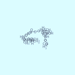 Cc1cnc(Nc2ccc(N3CCN(C(=O)CCOCCOCCC(=O)NC(C(=O)N4C[C@H](O)C[C@H]4C(=O)NCc4ccc(-c5scnc5C)cc4)C(C)(C)C)CC3)cc2)nc1Nc1cccc(S(=O)(=O)NC(C)(C)C)c1